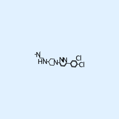 CN(C)CCNC1CCN(c2ccc(-c3ccc(Cl)c(Cl)c3)nn2)CC1